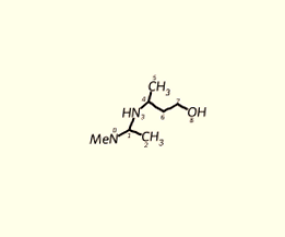 CNC(C)NC(C)CCO